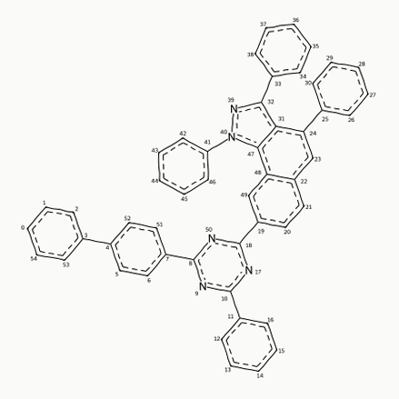 c1ccc(-c2ccc(-c3nc(-c4ccccc4)nc(-c4ccc5cc(-c6ccccc6)c6c(-c7ccccc7)nn(-c7ccccc7)c6c5c4)n3)cc2)cc1